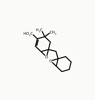 CC1(C)CC2(CC34CCCCC3O4)OC2C=C1C(=O)O